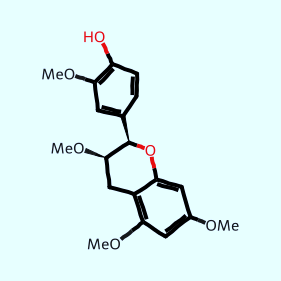 COc1cc(OC)c2c(c1)O[C@H](c1ccc(O)c(OC)c1)[C@H](OC)C2